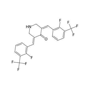 O=C1C(=Cc2cccc(C(F)(F)F)c2F)CNCC1=Cc1cccc(C(F)(F)F)c1F